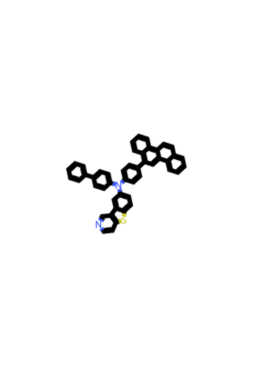 c1ccc(-c2ccc(N(c3ccc(-c4cc5c6ccccc6ccc5c5ccccc45)cc3)c3ccc4sc5ccncc5c4c3)cc2)cc1